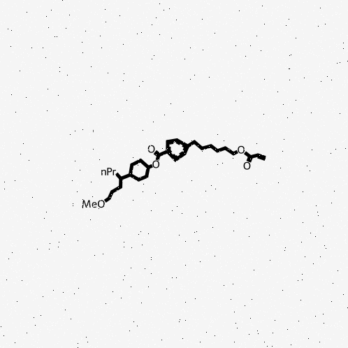 C=CC(=O)OCCCCCCc1ccc(C(=O)OC2CCC(C(CCC)CCCOC)CC2)cc1